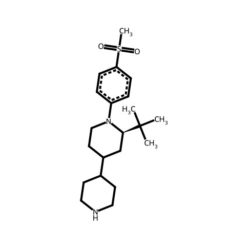 CC(C)(C)[C@H]1CC(C2CCNCC2)CCN1c1ccc(S(C)(=O)=O)cc1